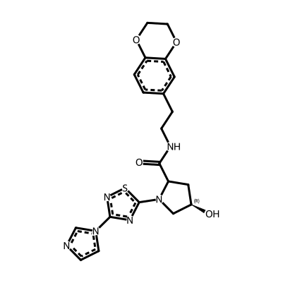 O=C(NCCc1ccc2c(c1)OCCO2)C1C[C@@H](O)CN1c1nc(-n2ccnc2)ns1